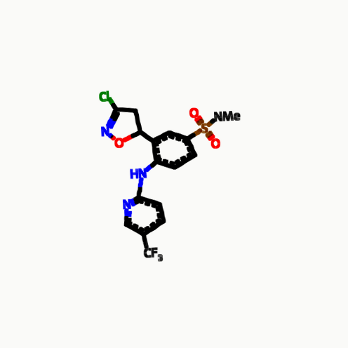 CNS(=O)(=O)c1ccc(Nc2ccc(C(F)(F)F)cn2)c(C2CC(Cl)=NO2)c1